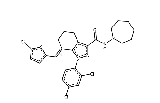 O=C(NN1CCCCCC1)c1nn(-c2ccc(Cl)cc2Cl)c2c1CCC/C2=C\c1ccc(Cl)s1